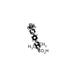 CC12CN(C(=O)O)CC1(C)CN(c1ccc(N3CCN(S(C)(=O)=O)CC3)cc1)C2